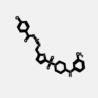 Cc1cccc(NC2CCN(S(=O)(=O)c3ccc(CN=[N+]=NC(=O)c4ccc(Cl)cc4)s3)CC2)c1